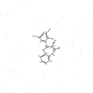 Cc1cc(C)c(C)c(N2Cc3ccccc3CN(C)[C@@H]2C)c1